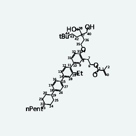 C=C(C)C(=O)OCCc1cc(-c2ccc(-c3ccc(C4CCC(CCCCC)CC4)cc3)cc2CC)ccc1OCCC(CO)(CO)CCC(C)(C)C